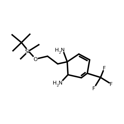 CC(C)(C)[Si](C)(C)OCCC1(N)C=CC(C(F)(F)F)=CC1N